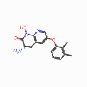 Cc1cccc(Oc2cnc3c(c2)C[C@H](N)C(=O)N3O)c1C